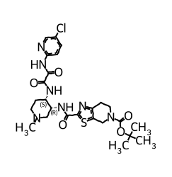 CN1CC[C@H](NC(=O)C(=O)Nc2ccc(Cl)cn2)[C@H](NC(=O)c2nc3c(s2)CN(C(=O)OC(C)(C)C)CC3)C1